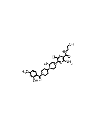 CC[C@H]1CN(c2nc(N)c(C(=O)NCCO)nc2Cl)CCN1C1CCN(C(=O)c2ccc(C)nc2O)CC1